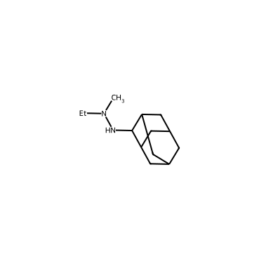 CCN(C)NC1C2CC3CC(C2)CC1C3